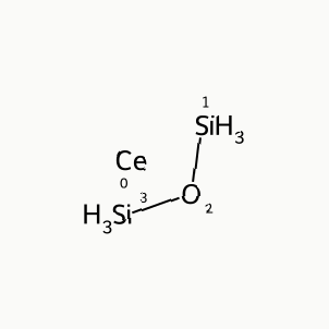 [Ce].[SiH3]O[SiH3]